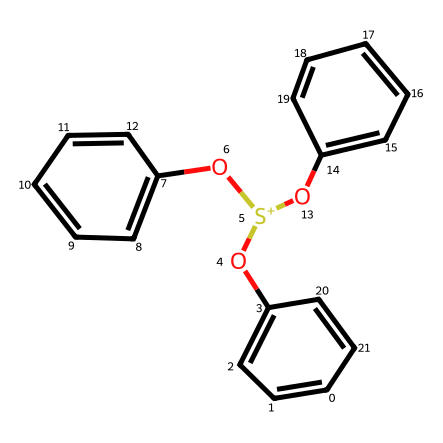 c1ccc(O[S+](Oc2ccccc2)Oc2ccccc2)cc1